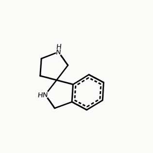 c1ccc2c(c1)CNC21CCNC1